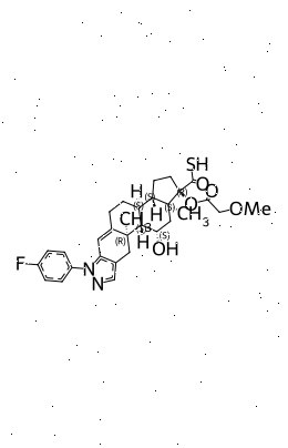 COCC(=O)O[C@]1(C(=O)S)CC[C@H]2[C@@H]3CCC4=Cc5c(cnn5-c5ccc(F)cc5)C[C@]4(C)[C@H]3[C@@H](O)C[C@@]21C